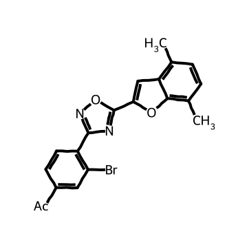 CC(=O)c1ccc(-c2noc(-c3cc4c(C)ccc(C)c4o3)n2)c(Br)c1